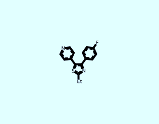 CCc1nc(-c2ccc(F)cc2)c(-c2ccncc2)s1